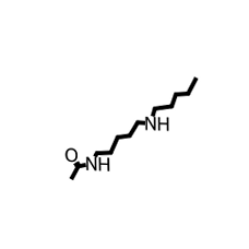 CCCCCNCCCCCNC(C)=O